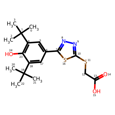 CC(C)(C)c1cc(-c2nnc(SCC(=O)O)s2)cc(C(C)(C)C)c1O